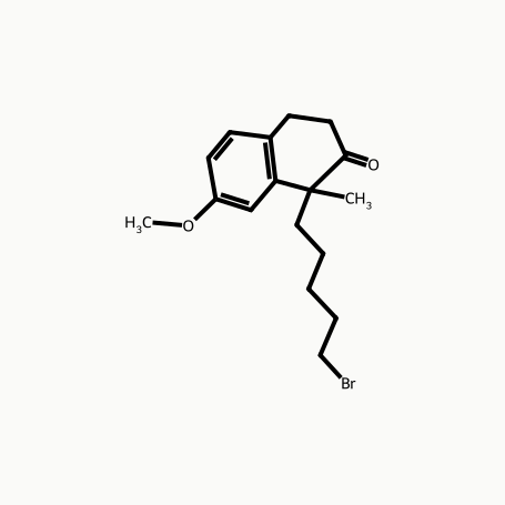 COc1ccc2c(c1)C(C)(CCCCCBr)C(=O)CC2